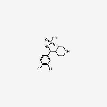 CCCS(=O)(=O)NC(c1ccc(Cl)c(Cl)c1)C1CCNCC1